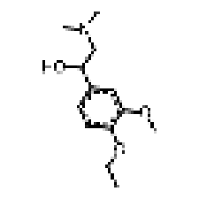 CCOc1ccc(C(O)CN(C)C)cc1OC